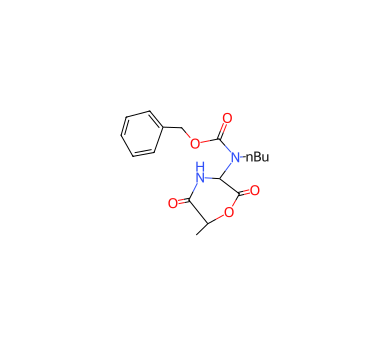 CCCCN(C(=O)OCc1ccccc1)C1NC(=O)C(C)OC1=O